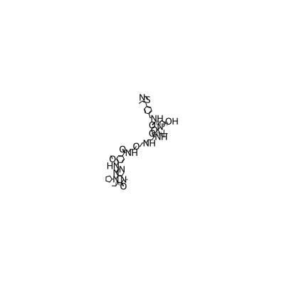 CC[C@@H]1C(=O)N(C)c2cnc(Nc3ccc(C(=O)NCCOCCNCCC(=O)N[C@H](C(=O)N4C[C@H](O)C[C@H]4C(=O)NCc4ccc(-c5scnc5C)cc4)C(C)(C)C)cc3OC)nc2N1C1CCCC1